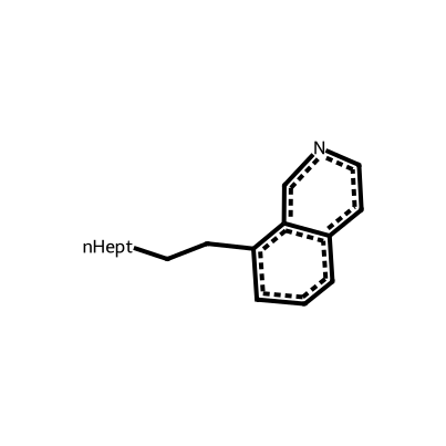 CCCCCCCCCc1cccc2ccncc12